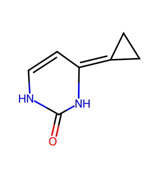 O=C1NC=CC(=C2CC2)N1